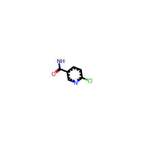 [NH]C(=O)c1ccc(Cl)nc1